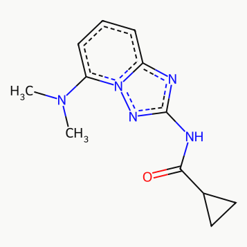 CN(C)c1cccc2nc(NC(=O)C3CC3)nn12